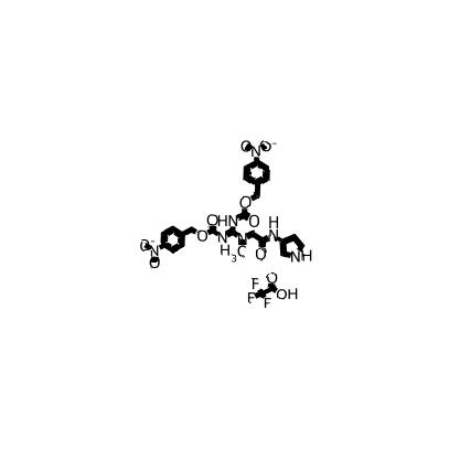 CN(CC(=O)N[C@H]1CCNC1)/C(=N/C(=O)OCc1ccc([N+](=O)[O-])cc1)NC(=O)OCc1ccc([N+](=O)[O-])cc1.O=C(O)C(F)(F)F